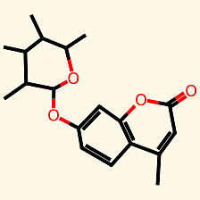 Cc1cc(=O)oc2cc(OC3OC(C)C(C)C(C)C3C)ccc12